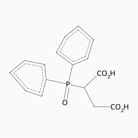 O=C(O)CC(C(=O)O)P(=O)(c1ccccc1)c1ccccc1